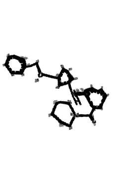 O=C(c1ccccc1Nc1cccc(OCc2ccccc2)c1)N1CCCCC1